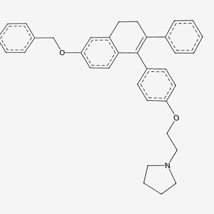 c1ccc(COc2ccc3c(c2)CCC(c2ccccc2)=C3c2ccc(OCCN3CCCC3)cc2)cc1